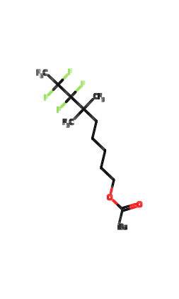 CCC(C)C(=O)OCCCCCC(C(F)(F)F)(C(F)(F)F)C(F)(F)C(F)(F)C(F)(F)F